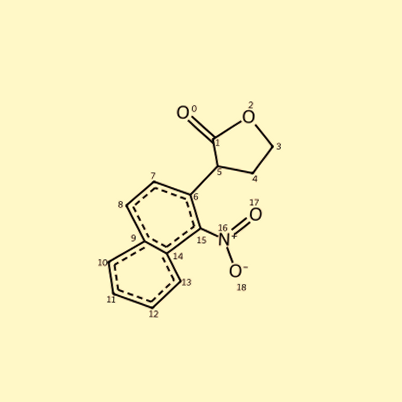 O=C1OCCC1c1ccc2ccccc2c1[N+](=O)[O-]